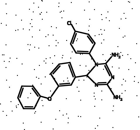 NC1=NC(c2cccc(Oc3ccccc3)c2)N(c2ccc(Cl)cc2)C(N)=N1